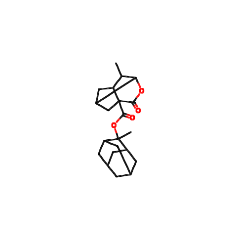 CC1C2OC(=O)C3(C(=O)OC4(C)C5CC6CC(C5)CC4C6)CC2CC13